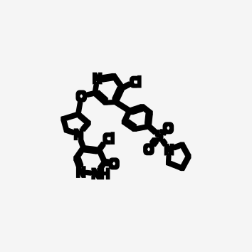 O=c1[nH]ncc(N2CCC(Oc3cc(-c4ccc(S(=O)(=O)N5CCCC5)cc4)c(Cl)cn3)C2)c1Cl